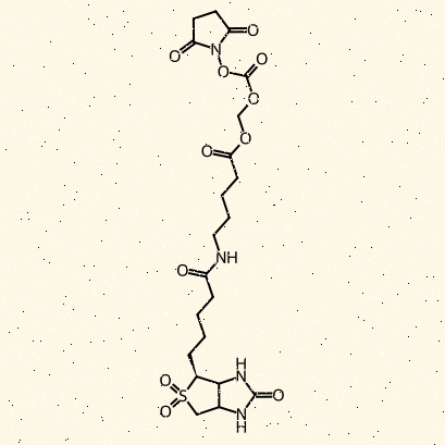 O=C(CCCC[C@H]1C2NC(=O)NC2CS1(=O)=O)NCCCCC(=O)OCOC(=O)ON1C(=O)CCC1=O